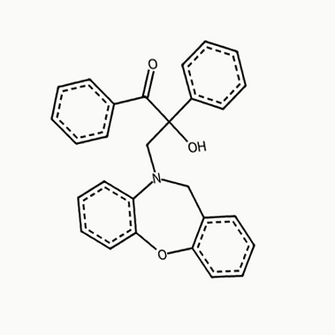 O=C(c1ccccc1)C(O)(CN1Cc2ccccc2Oc2ccccc21)c1ccccc1